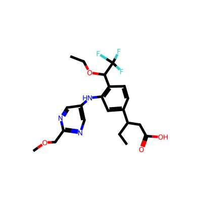 CCOC(c1ccc(C(CC)CC(=O)O)cc1Nc1cnc(COC)nc1)C(F)(F)F